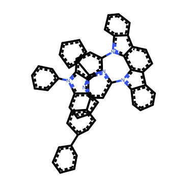 c1ccc(-c2ccc(-c3cc(-n4c5ccccc5c5ccc6c7ccccc7n(-c7ccc8c(c7)c7ccccc7n8-c7ccccc7)c6c54)nc(-c4ccccc4)n3)cc2)cc1